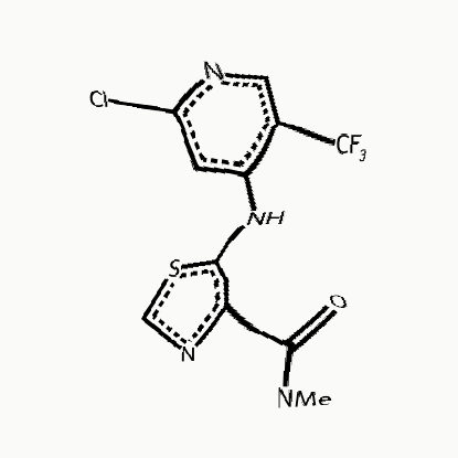 CNC(=O)c1ncsc1Nc1cc(Cl)ncc1C(F)(F)F